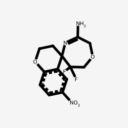 NC1=NC2(CCOc3ccc([N+](=O)[O-])cc32)C(F)(F)COC1